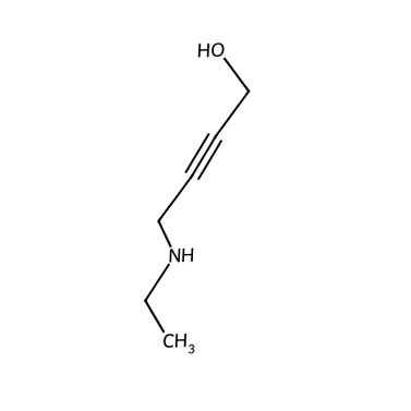 CCNCC#CCO